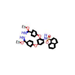 CCOC(=N)c1ccc(Oc2ccc(NS(=O)(=O)c3cccc4ccccc34)c(Oc3ccc(C(=N)OCC)cc3)c2)cc1